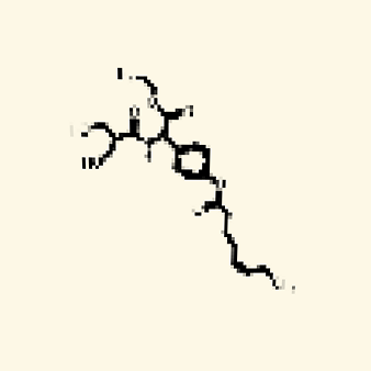 CC/C=C\CCCC(=O)Oc1ccc(C(NC(=O)C(CO)CO)C(=O)OCC)cc1